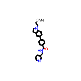 COCCN1CCc2cc(-c3ccc(C(=O)NCc4cccnc4)cc3)ccc21